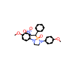 COc1ccc(N2CCN(c3ccc(OC)cc3)P2(=O)C(C[N+](=O)[O-])c2ccccc2)cc1